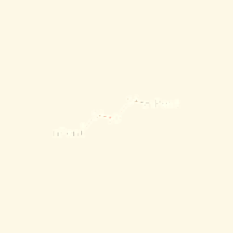 CCCCCSOSCCCCC